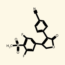 CS(=O)(=O)c1c(F)cc(C2=C(c3ccc(C#N)cc3)C(=O)OC2)cc1F